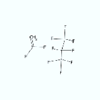 C=C(F)F.FC(F)(F)C(F)(F)C(F)(F)F